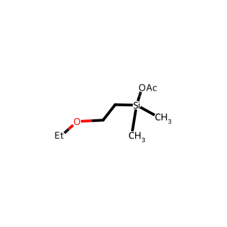 CCOCC[Si](C)(C)OC(C)=O